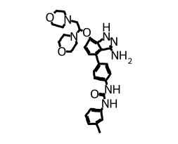 Cc1cccc(NC(=O)Nc2ccc(-c3ccc(OC(CN4CCOCC4)N4CCOCC4)c4[nH]nc(N)c34)cc2)c1